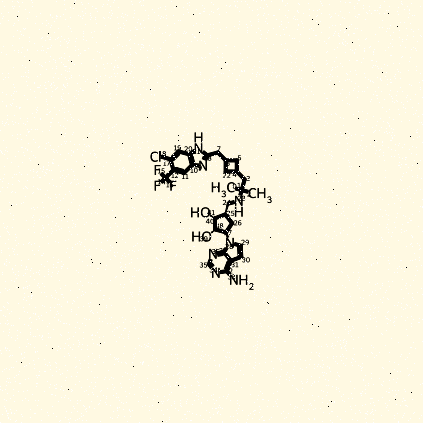 CC(C)(CC1CC(Cc2nc3cc(C(F)(F)F)c(Cl)cc3[nH]2)C1)NC[C@H]1C[C@@H](n2ccc3c(N)ncnc32)[C@H](O)[C@@H]1O